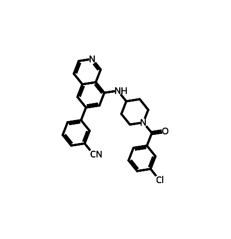 N#Cc1cccc(-c2cc(NC3CCN(C(=O)c4cccc(Cl)c4)CC3)c3cnccc3c2)c1